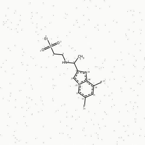 CCS(=O)(=O)CCNC(C)c1cn2cc(F)cc(F)c2n1